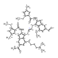 CCn1nc(C)cc1C(=O)Nc1nc2cc(C=O)cc(OC)c2n1C/C=C/Cn1c(NC(=O)c2cc(C)nn2CC)nc2cc(C(N)=O)cc(OCCCN(C)C)c21